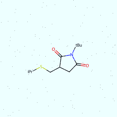 CC(C)SCC1CC(=O)N(C(C)(C)C)C1=O